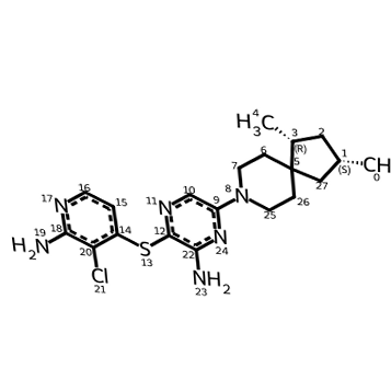 C[C@H]1C[C@@H](C)C2(CCN(c3cnc(Sc4ccnc(N)c4Cl)c(N)n3)CC2)C1